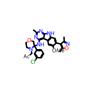 COc1cc2c(cc1-c1c(C)noc1C)[nH]c1nc(C)nc(NC3(c4cccc(Cl)c4)COCCN3CC(C)=O)c12